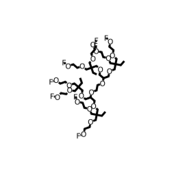 CCC(COCCOF)(COCCOF)COCC(COCC(CC)(COCCOF)COCCOF)OCCOC(COCC(CC)(COCCOF)COCCOF)COCC(CC)(COCCOF)COCCOF